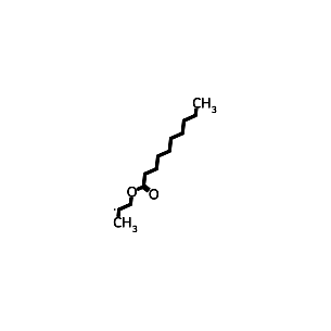 C[CH]COC(=O)CCCCCCCCC